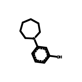 Oc1cccc(N2CCCCCC2)c1